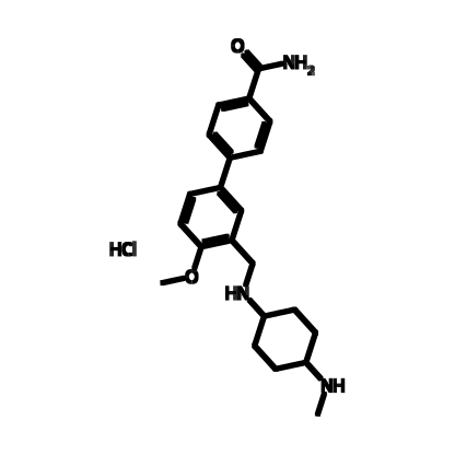 CNC1CCC(NCc2cc(-c3ccc(C(N)=O)cc3)ccc2OC)CC1.Cl